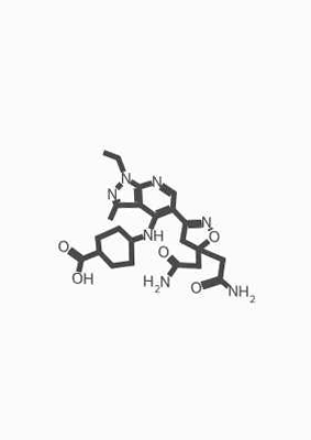 CCn1nc(C)c2c(NC3CCC(C(=O)O)CC3)c(C3=NOC(CC(N)=O)(CC(N)=O)C3)cnc21